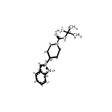 CC(C)(C)OC(=O)N1CCC(n2cc3ccccc3n2)CC1